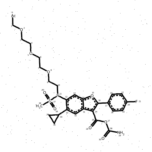 CC(=O)COCCOCCOCCN(c1cc2oc(-c3ccc(F)cc3)c(C(=O)OC(N)=O)c2cc1C1CC1)S(C)(=O)=O